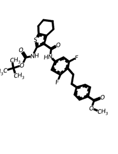 COC(=O)c1ccc(CCc2c(F)cc(NC(=O)c3c(NC(=O)OC(C)(C)C)sc4c3CCCC4)cc2F)cc1